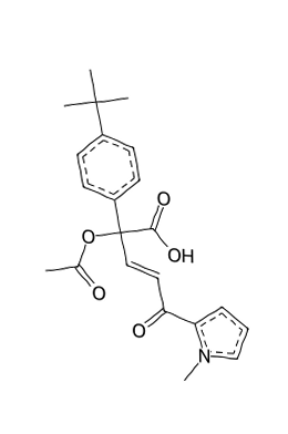 CC(=O)OC(/C=C/C(=O)c1cccn1C)(C(=O)O)c1ccc(C(C)(C)C)cc1